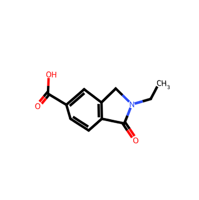 CCN1Cc2cc(C(=O)O)ccc2C1=O